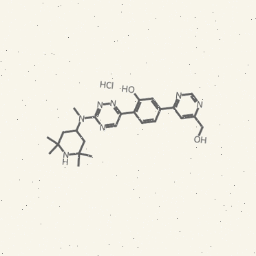 CN(c1ncc(-c2ccc(-c3cc(CO)ncn3)cc2O)nn1)C1CC(C)(C)NC(C)(C)C1.Cl